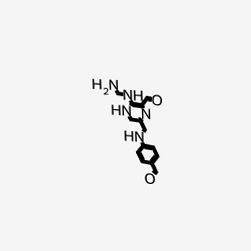 NCNC1=C(C=O)N=C(CNc2ccc(C=O)cc2)CN1